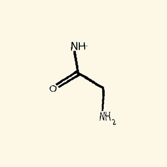 [NH]C(=O)CN